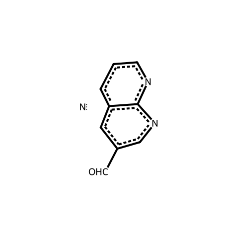 O=Cc1cnc2ncccc2c1.[N]